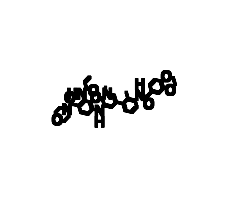 C=CC(=O)Nc1cc(Nc2cc(-c3cccc(NC(=O)c4ccc5c(c4)OCCO5)c3C)cn(C)c2=O)ccc1C(=O)N1CCOCC1